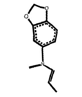 C/C=C/N(C)c1ccc2c(c1)OCO2